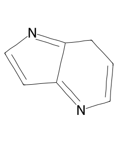 C1=CN=C2C=CN=C2C1